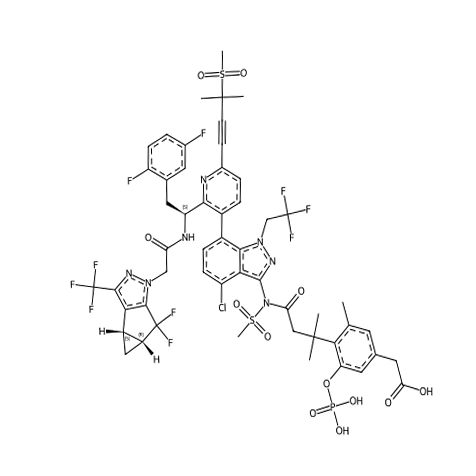 Cc1cc(CC(=O)O)cc(OP(=O)(O)O)c1C(C)(C)CC(=O)N(c1nn(CC(F)(F)F)c2c(-c3ccc(C#CC(C)(C)S(C)(=O)=O)nc3[C@H](Cc3cc(F)ccc3F)NC(=O)Cn3nc(C(F)(F)F)c4c3C(F)(F)[C@@H]3C[C@H]43)ccc(Cl)c12)S(C)(=O)=O